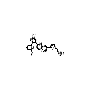 CCc1cccc(-c2n[nH]cc2-c2ccc3ncc(-c4ccn(CCNC)n4)cc3n2)n1